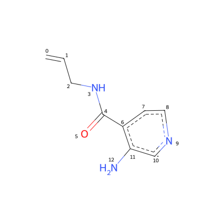 C=CCNC(=O)c1ccn[c]c1N